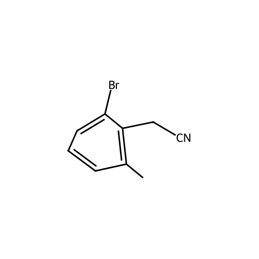 Cc1cccc(Br)c1CC#N